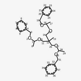 CC(OCc1ccccc1)OCC(C)(COC(C)OCc1ccccc1)COC(C)OCc1ccccc1